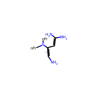 CCCN(CCC)/C(C=C(N)N)=C/N